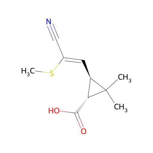 CS/C(C#N)=C\[C@@H]1[C@@H](C(=O)O)C1(C)C